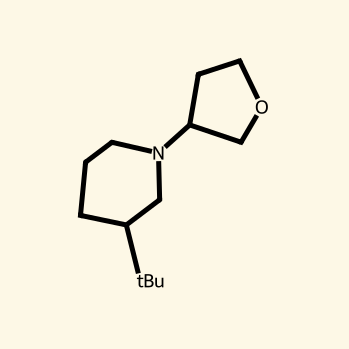 CC(C)(C)C1CCCN(C2CCOC2)C1